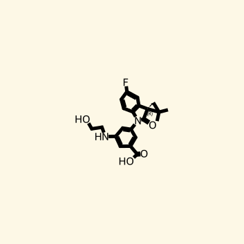 CC1(C)C[C@@]12C(=O)N(c1cc(NCCO)cc(C(=O)O)c1)c1ccc(F)cc12